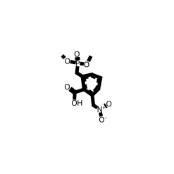 COP(=O)(Cc1cccc(C[N+](=O)[O-])c1C(=O)O)OC